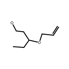 C=CCOC(CC)CC[O]